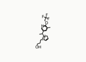 Cc1cc(C(C)N2CC=CN2CCCO)cnc1OCC(F)(F)F